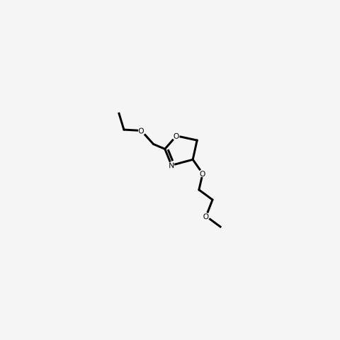 CCOCC1=NC(OCCOC)CO1